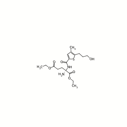 CCOC(=O)CC[C@@](N)(NC(=O)c1cc(C)c(CCCO)s1)C(=O)OCC